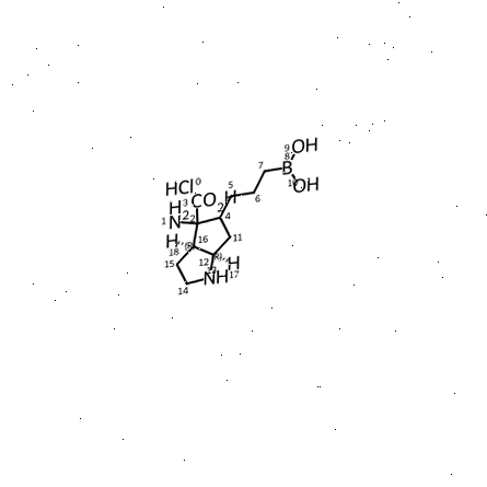 Cl.NC1(C(=O)O)C(CCCB(O)O)C[C@H]2NCC[C@H]21